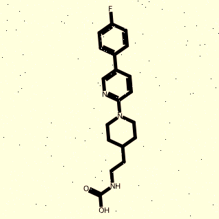 O=C(O)NCCC1CCN(c2ccc(-c3ccc(F)cc3)cn2)CC1